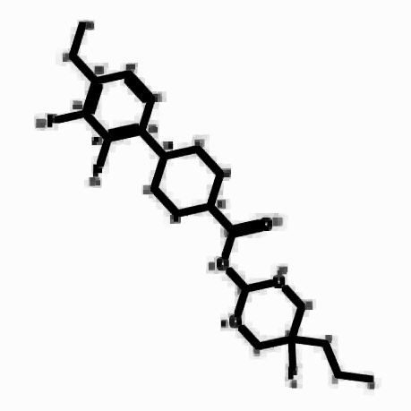 CCCC1(F)COC(OC(=O)C2CCC(c3ccc(CC)c(F)c3F)CC2)OC1